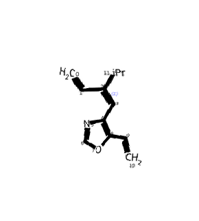 C=C/C(=C\c1ncoc1C=C)C(C)C